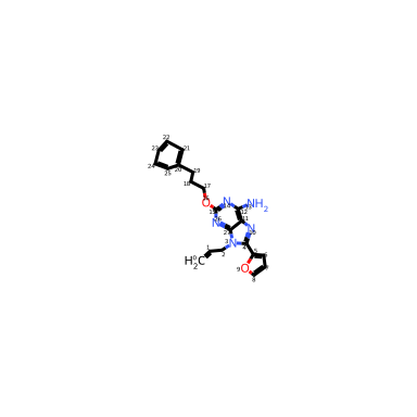 C=CCn1c(-c2ccco2)nc2c(N)nc(OCCCc3ccccc3)nc21